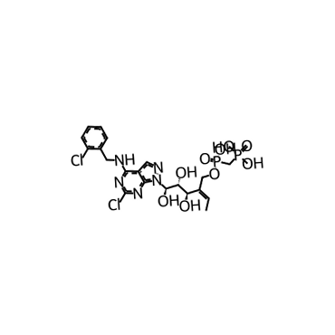 C/C=C(/COP(=O)(O)CP(=O)(O)O)[C@@H](O)[C@@H](O)[C@@H](O)n1ncc2c(NCc3ccccc3Cl)nc(Cl)nc21